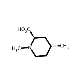 C[C@@H]1CCN(C)[C@@H](C(=O)O)C1